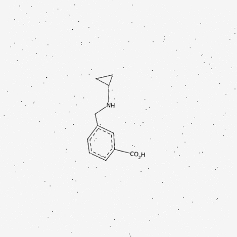 O=C(O)c1cccc(CNC2CC2)c1